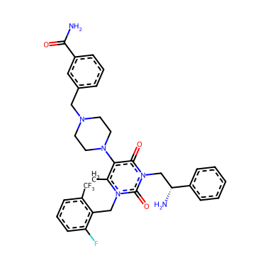 Cc1c(N2CCN(Cc3cccc(C(N)=O)c3)CC2)c(=O)n(C[C@@H](N)c2ccccc2)c(=O)n1Cc1c(F)cccc1C(F)(F)F